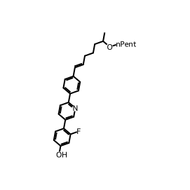 CCCCCOC(C)CCC/C=C/c1ccc(-c2ccc(-c3ccc(O)cc3F)cn2)cc1